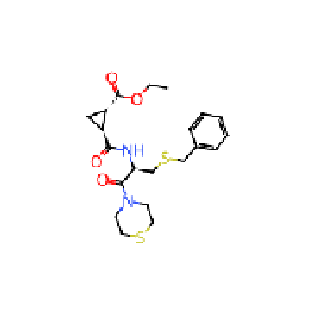 CCOC(=O)[C@H]1C[C@@H]1C(=O)N[C@@H](CSCc1ccccc1)C(=O)N1CCSCC1